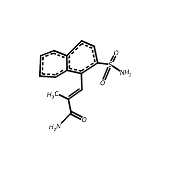 CC(=Cc1c(S(N)(=O)=O)ccc2ccccc12)C(N)=O